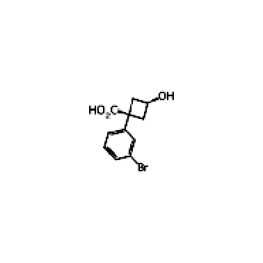 O=C(O)[C@]1(c2cccc(Br)c2)C[C@H](O)C1